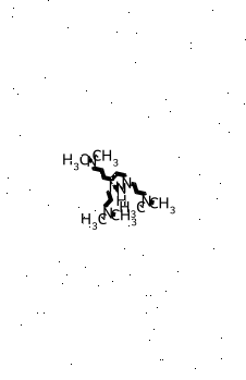 CN(C)CCCC1CCN(CCCN(C)C)NN1CCCN(C)C